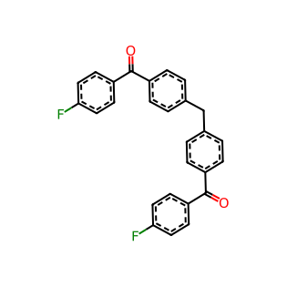 O=C(c1ccc(F)cc1)c1ccc(Cc2ccc(C(=O)c3ccc(F)cc3)cc2)cc1